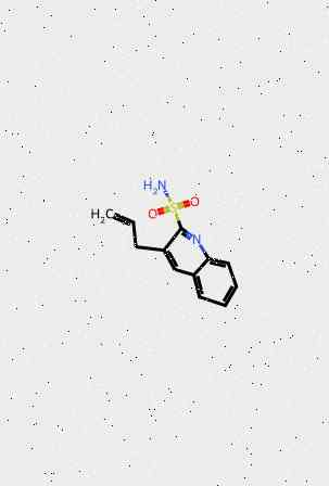 C=CCc1cc2ccccc2nc1S(N)(=O)=O